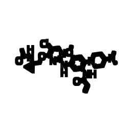 C=CC(=O)Nc1cc(Nc2ncc(Cl)c(OCC3(NC(C)=O)CC3)n2)c(OC)cc1N1CCC(N(C)C)CC1